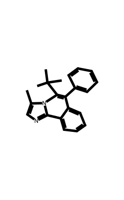 Cc1cnc2c3ccccc3c(-c3ccccc3)c(C(C)(C)C)n12